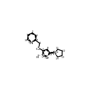 [I-].c1ccc(CSc2cc(=[N+]3CCCC3)ss2)nc1